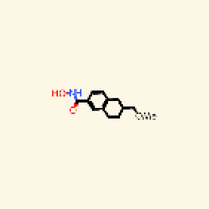 COCC1CCc2cc(C(=O)NO)ccc2C1